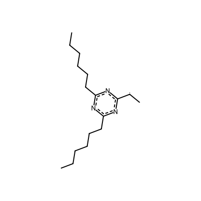 C[CH]c1nc(CCCCCC)nc(CCCCCC)n1